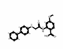 COc1ccc(C(=O)O)c(NC(=O)COc2ccc(-c3ccccc3)cc2)c1